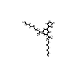 C=CCCCCOC(=O)c1cc(C(=O)OCCCCC=C)cc(-c2cccs2)c1